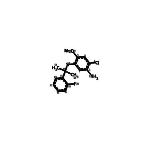 COc1cc(Cl)c(N)cc1SC(C)(C)c1ccccc1F